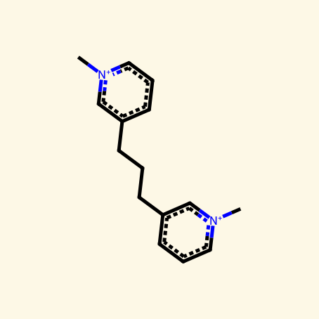 C[n+]1cccc(CCCc2ccc[n+](C)c2)c1